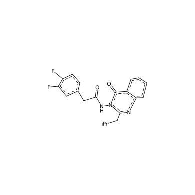 CC(C)Cc1nc2ccccc2c(=O)n1NC(=O)Cc1ccc(F)c(F)c1